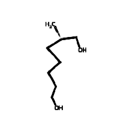 C[C@H](CO)CCCCCO